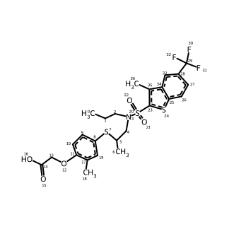 CCCN(CC(C)Sc1ccc(OCC(=O)O)c(C)c1)S(=O)(=O)c1sc2ccc(C(F)(F)F)cc2c1C